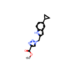 CC(C)(C)OC(=O)c1cn(Cc2cc3cc(C4CC4)ccc3[nH]2)nn1